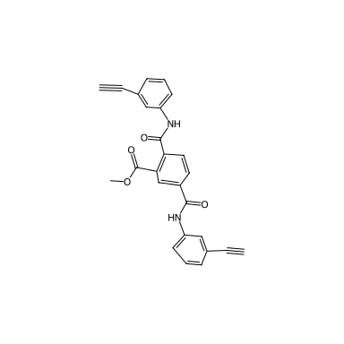 C#Cc1cccc(NC(=O)c2ccc(C(=O)Nc3cccc(C#C)c3)c(C(=O)OC)c2)c1